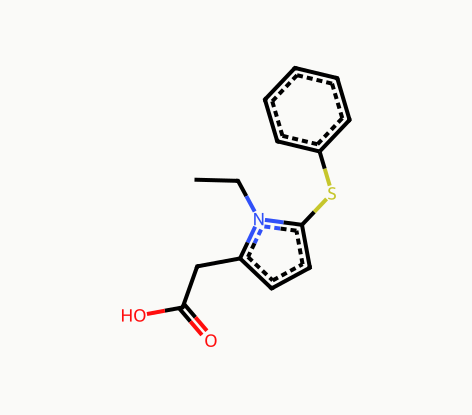 CCn1c(CC(=O)O)ccc1Sc1ccccc1